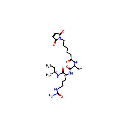 BC[C@H](C)NC(=O)[C@H](CCCNC(N)=O)NC(=O)C(NC(=O)CCCCCN1C(=O)C=CC1=O)C(C)C